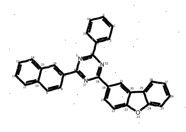 c1ccc(-c2nc(-c3ccc4ccccc4c3)nc(-c3ccc4oc5ccccc5c4c3)n2)cc1